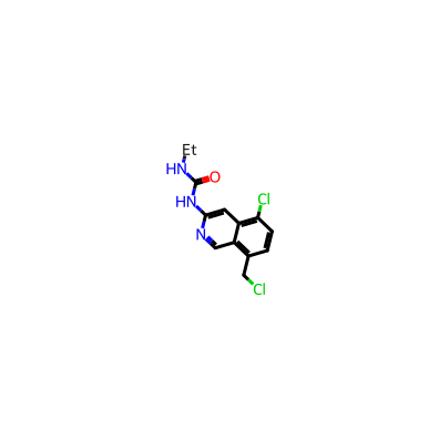 CCNC(=O)Nc1cc2c(Cl)ccc(CCl)c2cn1